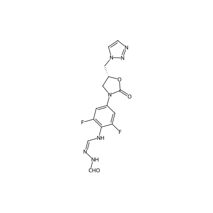 O=CN/N=C\Nc1c(F)cc(N2C[C@H](Cn3ccnn3)OC2=O)cc1F